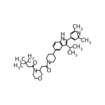 Cc1cc(-c2[nH]c3ccc(C4CCN(C(=O)CC5COCCN5C(=O)CC(C)(C)C)CC4)cc3c2C(C)C)cc(C)n1